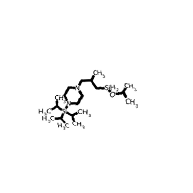 CC(C[SiH2]OC(C)C)CN1CCN([Si](C(C)C)(C(C)C)C(C)C)CC1